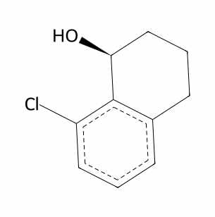 O[C@H]1CCCc2cccc(Cl)c21